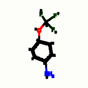 Nc1c[c]c(OC(F)(F)F)cc1